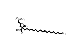 CCCCCCCCC=CCCCCCCCCC(CCCN(C)C)(C(=O)O)C(=O)O